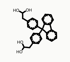 OC(O)Cc1ccc(C2(c3ccc(CC(O)O)cc3)c3ccccc3-c3ccccc32)cc1